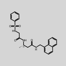 C[C@@H](CC(=O)NCc1cccc2ccccc12)NC(=O)CNS(=O)(=O)c1ccccc1